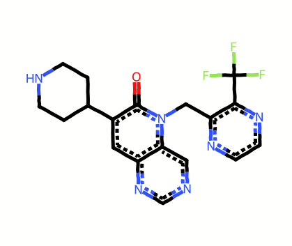 O=c1c(C2CCNCC2)cc2ncncc2n1Cc1nccnc1C(F)(F)F